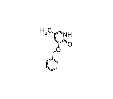 Cc1c[nH]c(=O)c(OCc2ccccc2)c1